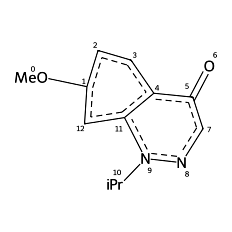 COc1ccc2c(=O)cnn(C(C)C)c2c1